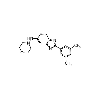 Cc1cc(-c2ncn(/C=C\C(=O)NN3CCOCC3)n2)cc(C(F)(F)F)c1